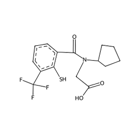 O=C(O)CN(C(=O)c1cccc(C(F)(F)F)c1S)C1CCCC1